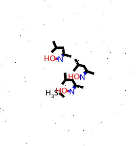 CC(CC(C)C)=NO.CC(CC(C)C)=NO.CC(CC(C)C)=NO.C[SiH3]